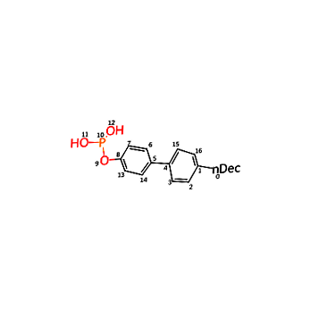 CCCCCCCCCCc1ccc(-c2ccc(OP(O)O)cc2)cc1